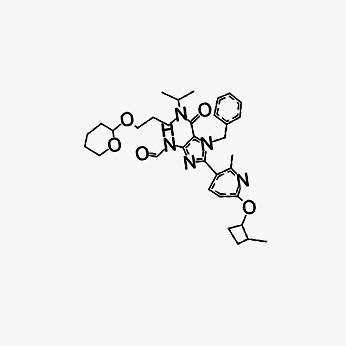 Cc1nc(OC2CCC2C)ccc1-c1nc(NC=O)c(C(=O)N(CCCOC2CCCCO2)C(C)C)n1Cc1ccccc1